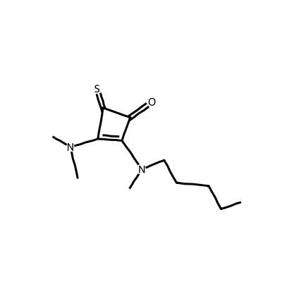 CCCCCN(C)c1c(N(C)C)c(=S)c1=O